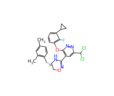 Cc1ccc(C[C@H]2CON=C(c3cc(C(Cl)Cl)nnc3Oc3cccc(C4CC4)c3F)N2)c(C)c1